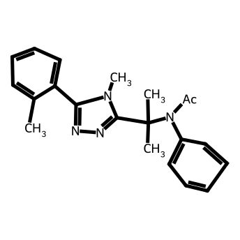 CC(=O)N(c1ccccc1)C(C)(C)c1nnc(-c2ccccc2C)n1C